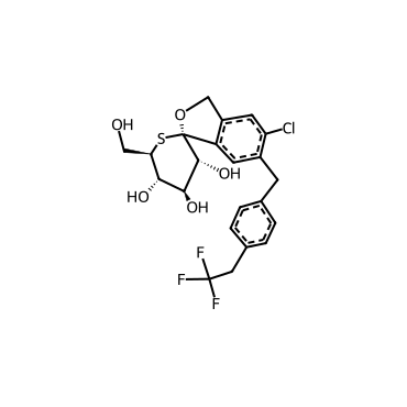 OC[C@H]1S[C@]2(OCc3cc(Cl)c(Cc4ccc(CC(F)(F)F)cc4)cc32)[C@H](O)[C@@H](O)[C@@H]1O